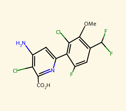 COc1c(C(F)F)cc(F)c(-c2cc(N)c(Cl)c(C(=O)O)n2)c1Cl